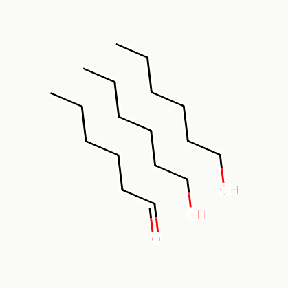 CCCCCC=O.CCCCCCO.CCCCCCO